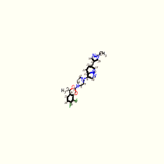 C[C@@H](OC(=O)N1CCN(c2cnn3cc(-c4cnn(C)c4)ccc23)CC1)c1ccc(F)c(F)c1